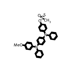 COc1ccc(N(c2ccccc2)c2ccc(N(c3ccccc3)c3ccc(OS(C)(=O)=S)cc3)cc2)cc1